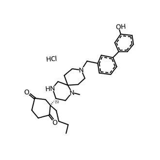 CCCCC1([C@H]2CN(C)C3(CCN(Cc4cccc(-c5cccc(O)c5)c4)CC3)CN2)CC(=O)CCC1=O.Cl